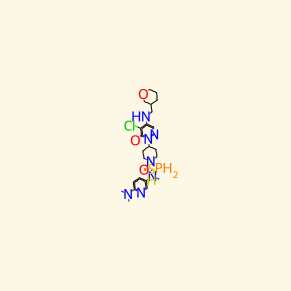 CN(C)c1ccc(N(C)[SH](=O)(P)N2CCC(n3ncc(NCC4CCCOC4)c(Cl)c3=O)CC2)cn1